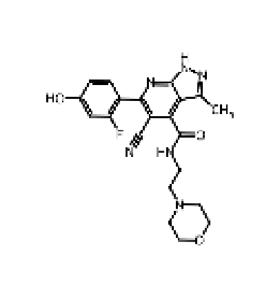 Cc1n[nH]c2nc(-c3ccc(O)cc3F)c(C#N)c(C(=O)NCCN3CCOCC3)c12